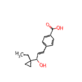 CCC1(C(O)C=Cc2ccc(C(=O)O)cc2)CC1